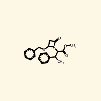 COC(=O)C(C(C)c1ccccc1)N1C(=O)CC1SCc1ccccc1